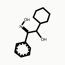 ON=C(c1ccccc1)C(O)C1CCCCC1